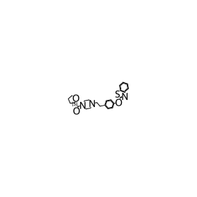 O=C([C@@H]1CCCO1)N1CCN(CCc2ccc(Oc3nc4ccccc4s3)cc2)CC1